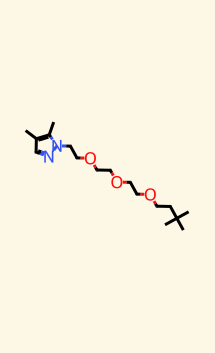 Cc1cnn(CCOCCOCCOCCC(C)(C)C)c1C